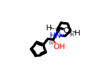 O[C@@H](Cc1ccccc1)C1C[C@H]2CC[C@@H]1NC2